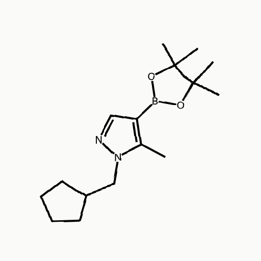 Cc1c(B2OC(C)(C)C(C)(C)O2)cnn1CC1CCCC1